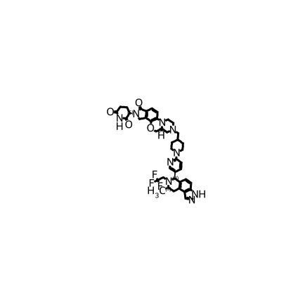 C[C@@H]1Cc2c(ccc3[nH]ncc23)[C@H](c2ccc(N3CCC(CN4CCN5c6ccc7c(c6OC[C@H]5C4)CN([C@H]4CCC(=O)NC4=O)C7=O)CC3)nc2)N1CC(F)(F)F